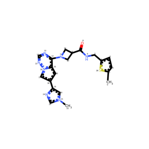 Cc1ccc(CNC(=O)C2CN(c3ncnn4cc(-c5cn(C)cn5)cc34)C2)s1